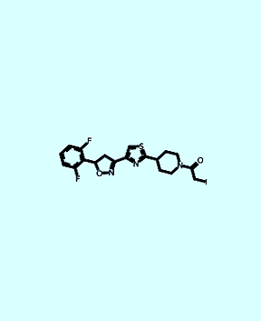 O=C(CI)N1CCC(c2nc(C3=NOC(c4c(F)cccc4F)C3)cs2)CC1